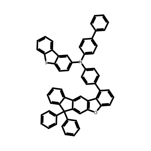 c1ccc(-c2ccc(N(c3ccc(-c4cccc5oc6cc7c(cc6c45)-c4ccccc4C7(c4ccccc4)c4ccccc4)cc3)c3ccc4sc5ccccc5c4c3)cc2)cc1